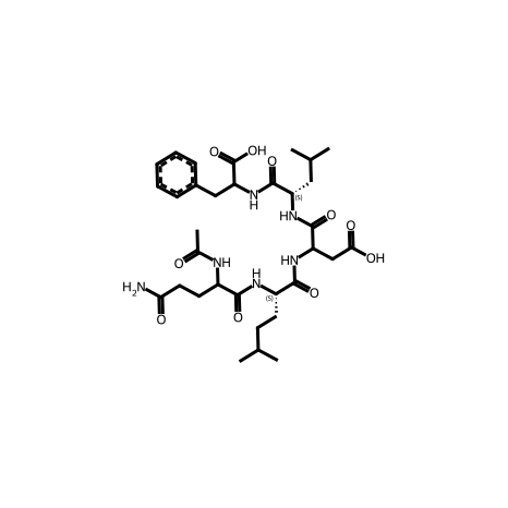 CC(=O)NC(CCC(N)=O)C(=O)N[C@@H](CCC(C)C)C(=O)NC(CC(=O)O)C(=O)N[C@@H](CC(C)C)C(=O)NC(Cc1ccccc1)C(=O)O